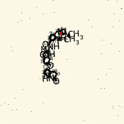 CN(C)[C@H]1CCN(Cc2ccc(C(=O)N[C@@H]3[C@H]4OC5=CC=C(Oc6ccnc7c6CCC(=O)N7)CC5[C@@H]34)cc2C(F)(F)F)C1